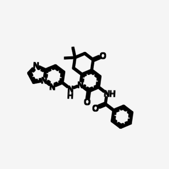 CC1(C)CC(=O)c2cc(NC(=O)c3ccccc3)c(=O)n(Nc3ccc4nccn4n3)c2C1